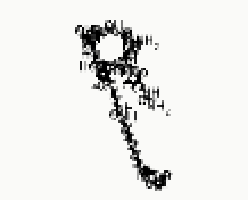 CC[C@H](C)[C@H](CCNC(=O)CN)C(=O)NCC(=O)N[C@@H]1C[S+]([O-])C2Nc3c(ccc(OC)c3CSCCCCNC(=O)NCCOCCOCCOCCn3cc(CN4C(=O)C=CC4=O)nn3)C2[C@H](CO)CNC(=O)[C@H]([C@@H](C)[C@@H](O)CO)NC(=O)C[C@@H](O)CNC(=O)[C@H](CC(N)=O)NC1=O